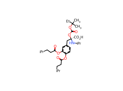 CCC(C)(C)OC(=O)O[C@](Cc1ccc(OC(=O)CCC(C)C)c(OC(=O)CCC(C)C)c1)(NC(C)C)C(=O)O